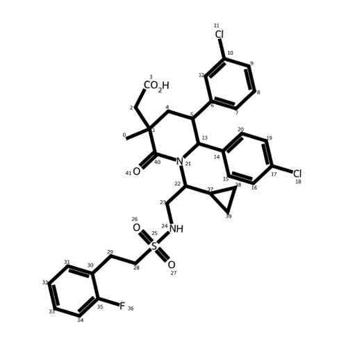 CC1(CC(=O)O)CC(c2cccc(Cl)c2)C(c2ccc(Cl)cc2)N(C(CNS(=O)(=O)CCc2ccccc2F)C2CC2)C1=O